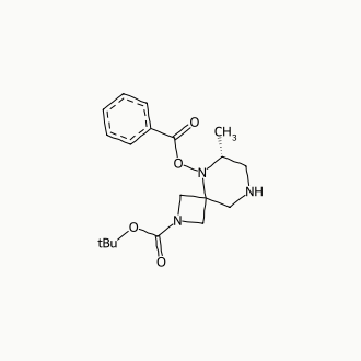 C[C@@H]1CNCC2(CN(C(=O)OC(C)(C)C)C2)N1OC(=O)c1ccccc1